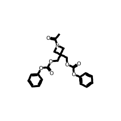 CC(=O)N1CC(COC(=O)Oc2ccccc2)(COC(=O)Oc2ccccc2)C1